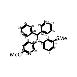 COc1ccc(N(c2cccc(SC)c2)C(c2cccnc2)c2cccnc2)cn1